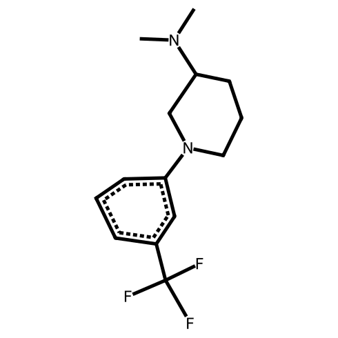 CN(C)C1CCCN(c2cccc(C(F)(F)F)c2)C1